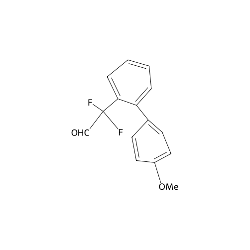 COc1ccc(-c2ccccc2C(F)(F)C=O)cc1